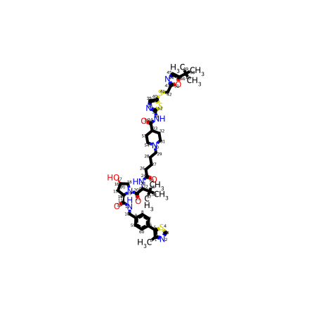 Cc1ncsc1-c1ccc(CNC(=O)[C@H]2C[C@@H](O)CN2C(=O)[C@H](NC(=O)CCCCN2CCC(C(=O)Nc3ncc(SCc4ncc(C(C)(C)C)o4)s3)CC2)C(C)(C)C)cc1